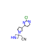 N#CCC1(n2ccc(-c3ccnc(Cl)n3)c2)CNC1